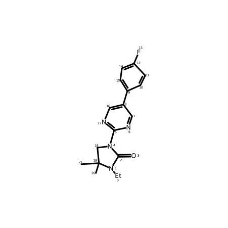 CCN1C(=O)N(c2ncc(-c3ccc(F)cc3)cn2)CC1(C)C